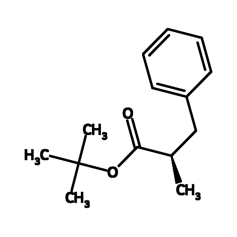 C[C@H](Cc1ccccc1)C(=O)OC(C)(C)C